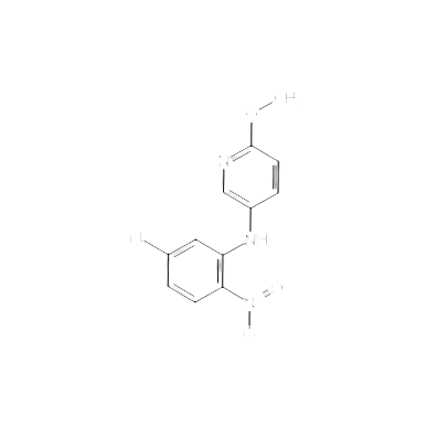 COc1ccc(Nc2cc(Cl)ccc2[N+](=O)[O-])cn1